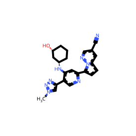 Cn1cc(-c2cnc(-c3ccc4cc(C#N)cnn34)cc2N[C@H]2CCC[C@@H](O)C2)nn1